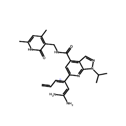 C=C/C=C(\C=C(N)N)c1cc(C(=O)NCc2c(C)cc(C)[nH]c2=O)c2cnn(C(C)C)c2n1